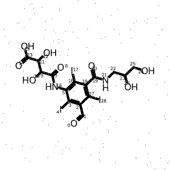 O=Cc1c(I)c(NC(=O)C(O)C(O)C(=O)O)c(I)c(C(=O)NCC(O)CO)c1I